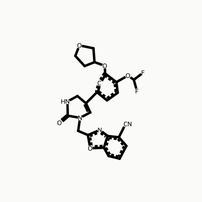 N#Cc1cccc2oc(CN3C=C(c4ccc(OC(F)F)c(OC5CCOC5)c4)CNC3=O)nc12